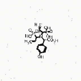 C=CC(N(C(C=C)P(=O)(O)O)[C@H](C(=O)O)c1ccc(O)cc1)P(=O)(O)O